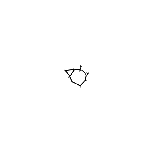 C1CONC2CC2C1